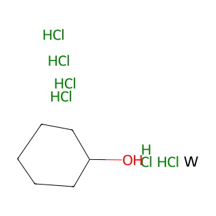 Cl.Cl.Cl.Cl.Cl.Cl.OC1CCCCC1.[W]